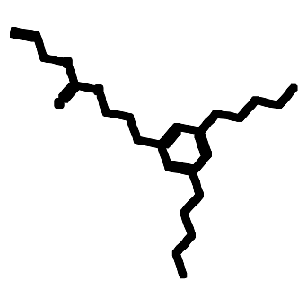 C=CCOC(=O)OCCCc1cc(CCCCC)cc(CCCCC)c1